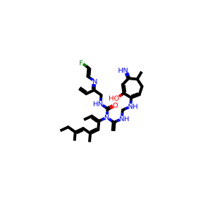 C=C/C(CNC(=O)N(C(=C)NCNC1=CCC(C)C(=N)C=C1O)C(/C=C(C)\C=C(/C)CC)=C/C)=N\C=C\F